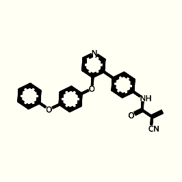 C=C(C#N)C(=O)Nc1ccc(-c2cnccc2Oc2ccc(Oc3ccccc3)cc2)cc1